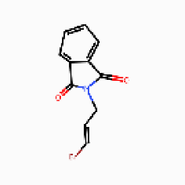 O=C1c2ccccc2C(=O)N1C/C=C/Br